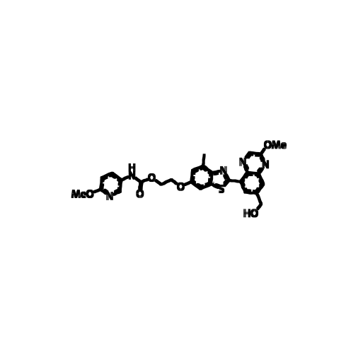 COc1ccc(NC(=O)OCCOc2cc(C)c3nc(-c4cc(CO)cc5nc(OC)cnc45)sc3c2)cn1